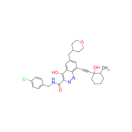 CC1CCCCC1(O)C#Cc1cc(CC2CCOCC2)cc2c(O)c(C(=O)NCc3ccc(Cl)cc3)nnc12